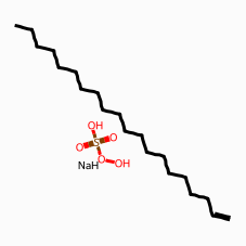 C=CCCCCCCCCCCCCCCCCCC.O=S(=O)(O)OO.[NaH]